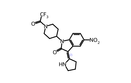 O=C1/C(=C2/CCCN2)c2cc([N+](=O)[O-])ccc2N1C1CCN(C(=O)C(F)(F)F)CC1